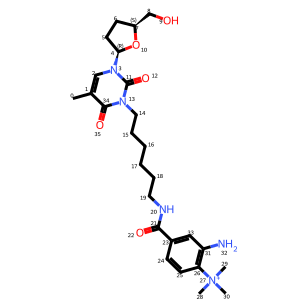 Cc1cn([C@H]2CC[C@@H](CO)O2)c(=O)n(CCCCCCNC(=O)c2ccc([N+](C)(C)C)c(N)c2)c1=O